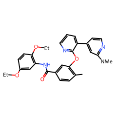 CCOc1ccc(OCC)c(NC(=O)c2ccc(C)c(Oc3ncccc3-c3ccnc(NC)c3)c2)c1